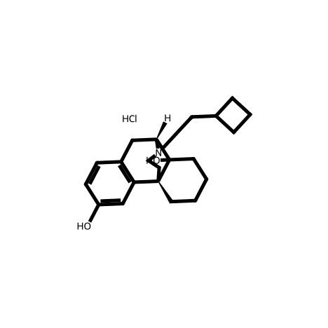 Cl.Oc1ccc2c(c1)[C@@]13CCCCC1(O)[C@@H](C2)N(CC1CCC1)CC3